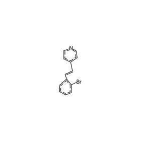 Brc1ccccc1C=Cc1ccncc1